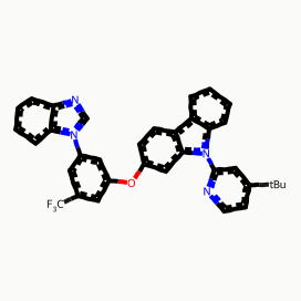 CC(C)(C)c1ccnc(-n2c3ccccc3c3ccc(Oc4cc(-n5cnc6ccccc65)cc(C(F)(F)F)c4)cc32)c1